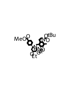 CCO[C@H]1CCN(Cc2c(NS(C)(=O)=O)cc(C)c3c2ccn3C(=O)OC(C)(C)C)[C@H](c2ccc(C(=O)OC)cc2)C1